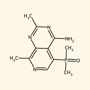 Cc1nc(N)c2c(P(C)(C)=O)cnc(C)c2n1